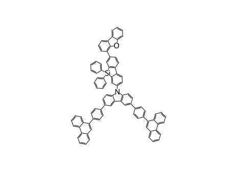 c1ccc([Si]2(c3ccccc3)c3cc(-c4cccc5c4oc4ccccc45)ccc3-c3ccc(-n4c5ccc(-c6ccc(-c7cc8ccccc8c8ccccc78)cc6)cc5c5cc(-c6ccc(-c7cc8ccccc8c8ccccc78)cc6)ccc54)cc32)cc1